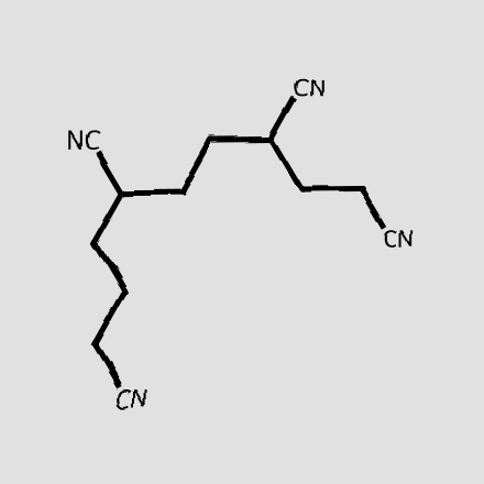 N#CCCCC(C#N)CCC(C#N)CCC#N